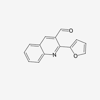 O=Cc1cc2ccccc2nc1-c1ccco1